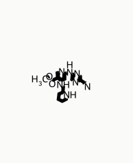 COC(=O)c1cnc(Nc2cnc(C#N)cn2)cc1NCC1CCCCN1